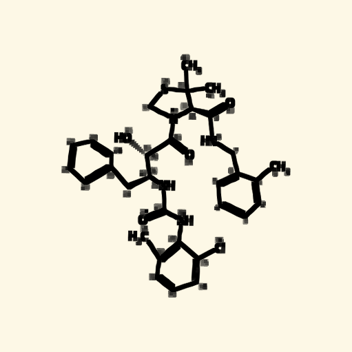 Cc1ccccc1CNC(=O)[C@H]1N(C(=O)[C@@H](O)[C@H](Cc2ccccc2)NC(=O)Nc2c(C)cccc2Cl)CSC1(C)C